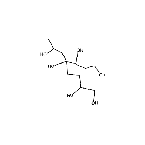 CC(O)CC(O)(CCC(O)CO)C(O)CCO